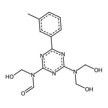 Cc1cccc(-c2nc(N(C=O)CO)nc(N(CO)CO)n2)c1